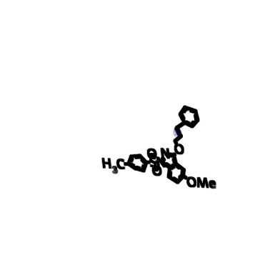 COc1ccc2c(c1)c(OC/C=C/c1ccccc1)nn2S(=O)(=O)c1ccc(C)cc1